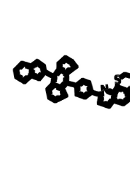 C1=Cc2ccc3ccc(-c4ccc(-c5c6ccccc6c(-c6ccc7ccccc7c6)c6ccccc56)cc4)nc3c2SC1